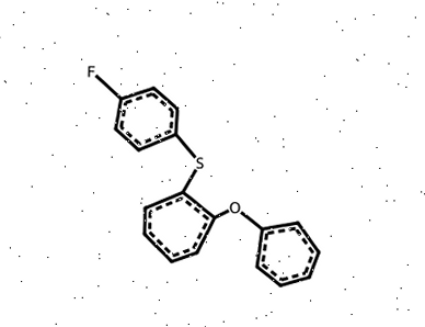 Fc1ccc(Sc2ccccc2Oc2ccccc2)cc1